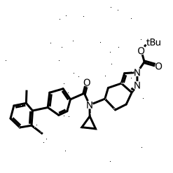 Cc1cccc(C)c1-c1ccc(C(=O)N(C2CC2)C2CCc3nn(C(=O)OC(C)(C)C)cc3C2)cc1